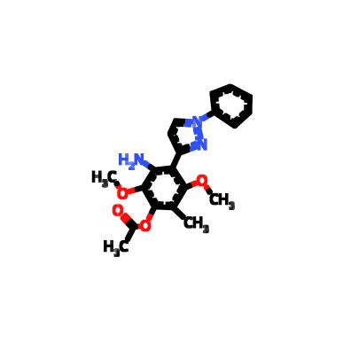 COc1c(N)c(-c2ccn(-c3ccccc3)n2)c(OC)c(C)c1OC(C)=O